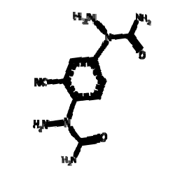 N#Cc1cc(N(N)C(N)=O)ccc1N(N)C(N)=O